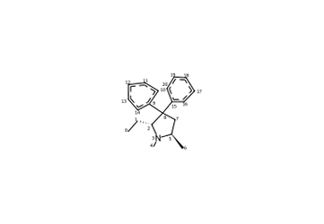 CC[C@H]1N(C)[C@H](C)CC1(c1ccccc1)c1ccccc1